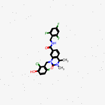 CC1c2ccc(C(=O)NCc3c(F)cc(F)cc3F)cc2N(Cc2c(F)ccc(O)c2Cl)C(=O)N1C